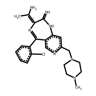 C/C(N)=C1\N=C(c2ccccc2Cl)c2cnc(CN3CCN(C)CC3)cc2NC1=N